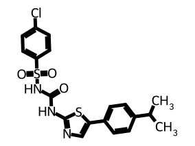 CC(C)c1ccc(-c2cnc(NC(=O)NS(=O)(=O)c3ccc(Cl)cc3)s2)cc1